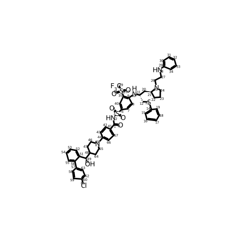 O=C(NS(=O)(=O)c1ccc(N[C@@H](CSc2ccccc2)C[C@@H]2CCCN2CCNc2ccccc2)c(S(=O)(=O)C(F)(F)F)c1)c1ccc(N2CCC([C@@H](O)c3ccccc3-c3ccc(Cl)cc3)CC2)cc1